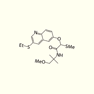 CCSc1cnc2ccc(OC(SC)C(=O)NC(C)(C)COC)cc2c1